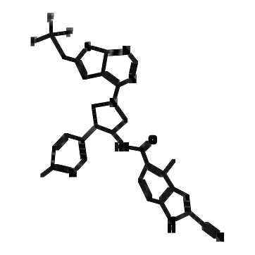 Cc1ccc(C2CN(c3ncnc4sc(CC(F)(F)F)cc34)CC2NC(=O)c2ccc3[nH]c(C#N)cc3c2C)cn1